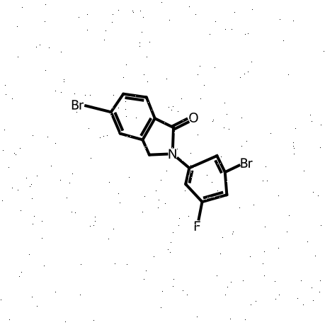 O=C1c2ccc(Br)cc2CN1c1cc(F)cc(Br)c1